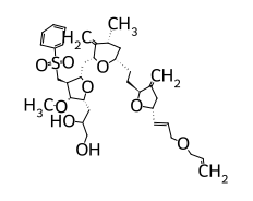 C=CCOC/C=C/[C@H]1CC(=C)[C@H](CC[C@H]2C[C@@H](C)C(=C)[C@@H](C[C@@H]3O[C@H](CC(O)CO)[C@H](OC)[C@H]3CS(=O)(=O)c3ccccc3)O2)O1